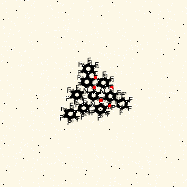 FC1=C(F)C(F)[C@H](F)C(c2c(F)c(F)c(N(c3cc(N(c4c(F)c(F)c(F)c(F)c4F)c4c(F)c(F)c(-c5c(F)c(F)c(F)c(F)c5F)c(F)c4F)cc(N(c4c(F)c(F)c(F)c(F)c4F)c4c(F)c(F)c(-c5c(F)c(F)c(F)c(F)c5F)c(F)c4F)c3)c3c(F)c(F)c(F)c(F)c3F)c(F)c2F)=C1F